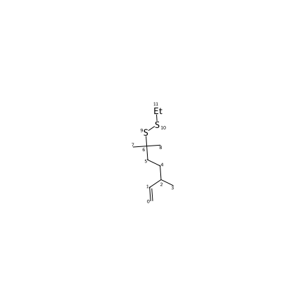 C=CC(C)CCC(C)(C)SSCC